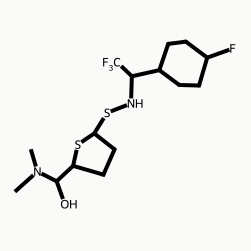 CN(C)C(O)C1CCC(SNC(C2CCC(F)CC2)C(F)(F)F)S1